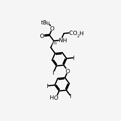 CC(C)(C)OC(=O)[C@H](Cc1cc(I)c(Oc2cc(I)c(O)c(I)c2)c(I)c1)NCC(=O)O